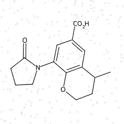 CC1CCOc2c1cc(C(=O)O)cc2N1CCCC1=O